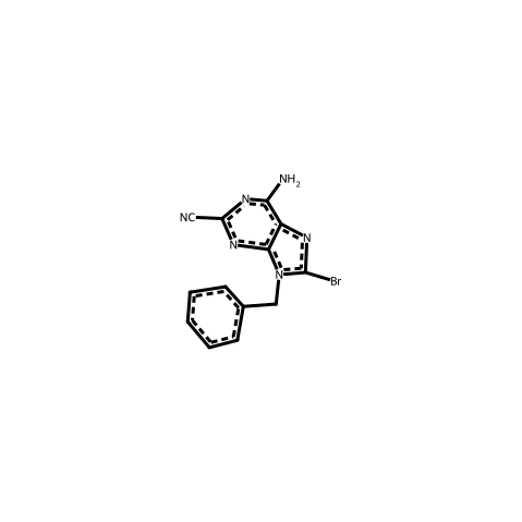 N#Cc1nc(N)c2nc(Br)n(Cc3ccccc3)c2n1